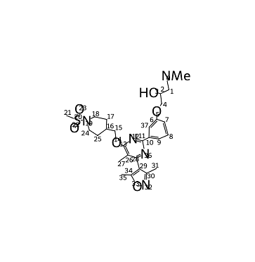 CNCC(O)COc1cccc(-c2nc(OCC3CCN(S(C)(=O)=O)CC3)c(C)c(-c3c(C)noc3C)n2)c1